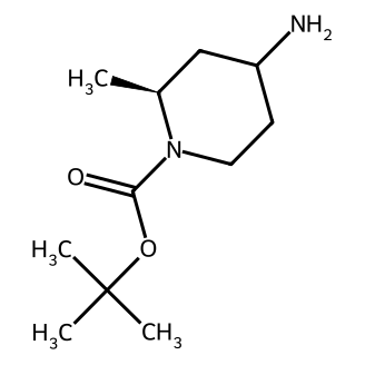 C[C@H]1CC(N)CCN1C(=O)OC(C)(C)C